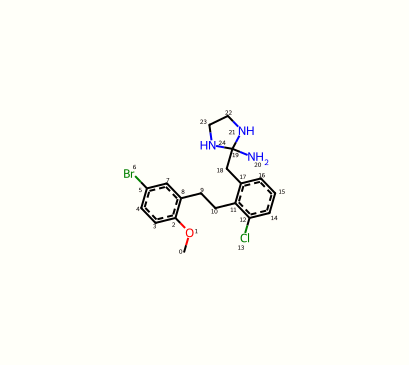 COc1ccc(Br)cc1CCc1c(Cl)cccc1CC1(N)NCCN1